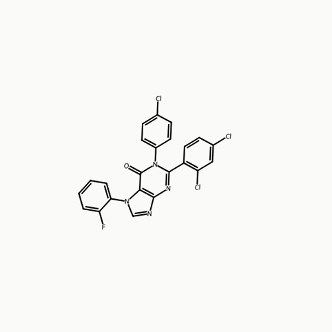 O=c1c2c(ncn2-c2ccccc2F)nc(-c2ccc(Cl)cc2Cl)n1-c1ccc(Cl)cc1